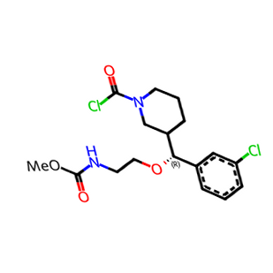 COC(=O)NCCO[C@@H](c1cccc(Cl)c1)C1CCCN(C(=O)Cl)C1